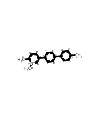 Cc1ccc(-c2ccc(-c3ccc(C)[n+](C)c3)cc2)cc1